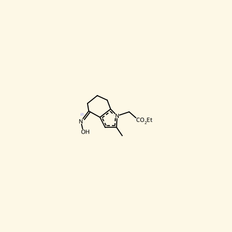 CCOC(=O)Cn1c(C)cc2c1CCC/C2=N/O